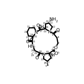 C[C@@H]1C[C@H]2C(=O)OCCC(=O)N3C[C@@H](N)C[C@H]3C(=O)N3CCCC[C@H]3C(=O)N[C@@H](C)C(=O)N2C1